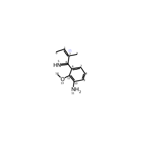 C/C=C(/C)C(=N)c1cccc(N)c1OC